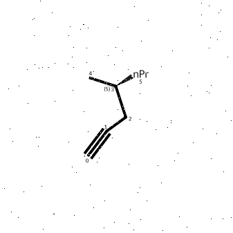 [C]#CC[C@@H](C)CCC